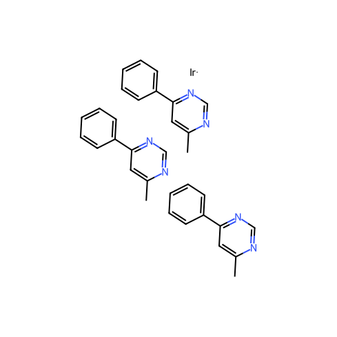 Cc1cc(-c2ccccc2)ncn1.Cc1cc(-c2ccccc2)ncn1.Cc1cc(-c2ccccc2)ncn1.[Ir]